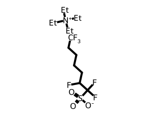 CC[N+](CC)(CC)CC.O=S(=O)([O-])C(F)(F)C(F)CCCCC(F)(F)F